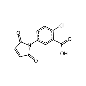 O=C(O)c1cc(N2C(=O)C=CC2=O)ccc1Cl